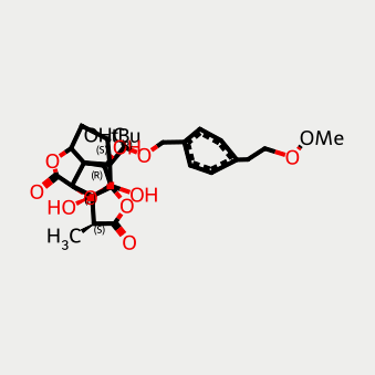 COOCCc1ccc(CO[C@@H](C=O)C23C(O)OC45C(=O)OC(C[C@H]2C(C)(C)C)C34[C@@H](O)C2OC(=O)[C@@H](C)[C@@]25O)cc1